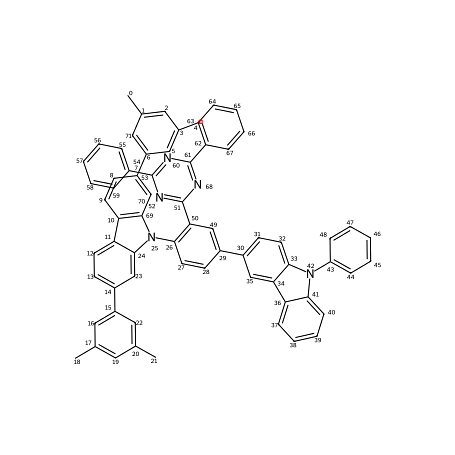 Cc1cc(C)cc(-c2ccc3c4ccc(-c5cc(C)cc(C)c5)cc4n(-c4ccc(-c5ccc6c(c5)c5ccccc5n6-c5ccccc5)cc4-c4nc(-c5ccccc5)nc(-c5ccccc5)n4)c3c2)c1